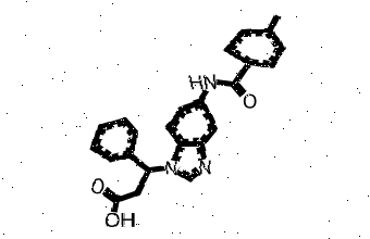 Cc1ccc(C(=O)Nc2ccc3c(c2)ncn3C(CC(=O)O)c2ccccc2)cc1